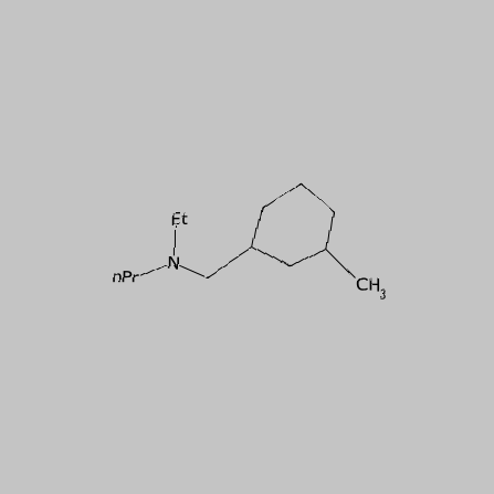 CCCN(CC)CC1CCCC(C)C1